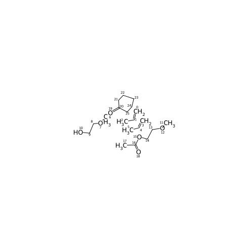 C=CC.C=CC.COCCO.COCCOC(C)=O.O=C1CCCCC1